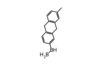 BBc1ccc2c(c1)Cc1cc(C)ccc1C2